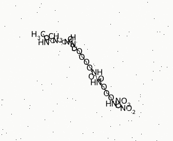 Cc1ccc2c(c1)NC[C@]21CCN(CCC2CCN(C(=O)c3cc4ccc(OCCOCCOCCOCCNC(=O)CCC(=O)NCCOCCOCCOCCNc5ccc([N+](=O)[O-])cc5[N+](=O)[O-])cc4[nH]3)CC2)C[C@H]1C